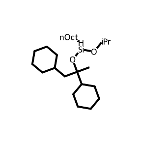 CCCCCCCC[SiH](OC(C)C)OC(C)(CC1CCCCC1)C1CCCCC1